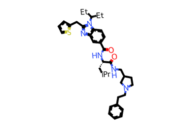 CCC(CC)n1c(Cc2cccs2)nc2cc(C(=O)N[C@@H](CC(C)C)C(=O)NCC3CCN(CCc4ccccc4)C3)ccc21